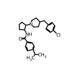 CC(C)c1ccc(C(=O)NC2CCCC2N2CCC(Cc3ccc(Cl)cc3)CC2)cc1